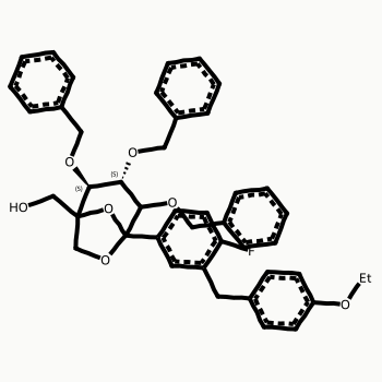 CCOc1ccc(Cc2cc(C34OCC(CO)(O3)[C@@H](OCc3ccccc3)[C@H](OCc3ccccc3)C4OCc3ccccc3)ccc2F)cc1